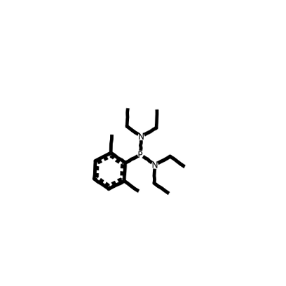 CCN(CC)P(c1c(C)cccc1C)N(CC)CC